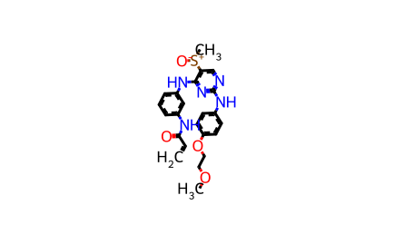 C=CC(=O)Nc1cccc(Nc2nc(Nc3ccc(OCCOC)cc3)ncc2[S+](C)[O-])c1